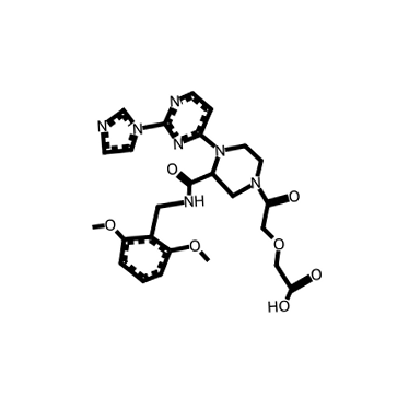 COc1cccc(OC)c1CNC(=O)C1CN(C(=O)COCC(=O)O)CCN1c1ccnc(-n2ccnc2)n1